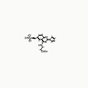 CC[Si](C#Cc1ccc2nc(-n3ccnc3)nc(NCCOC)c2c1)(CC)CC